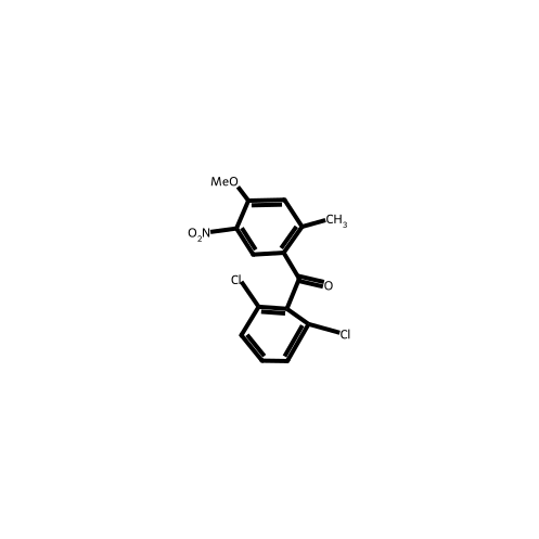 COc1cc(C)c(C(=O)c2c(Cl)cccc2Cl)cc1[N+](=O)[O-]